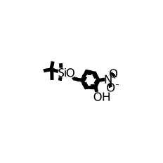 CC(C)(C)[Si](C)(C)OCc1ccc([N+](=O)[O-])c(O)c1